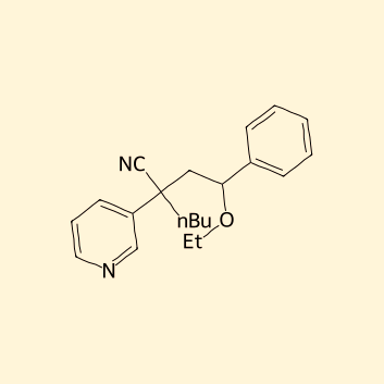 CCCCC(C#N)(CC(OCC)c1ccccc1)c1cccnc1